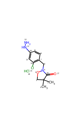 CC1(C)CON(Cc2ccc(NN)cc2Cl)C1=O.Cl